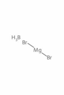 B.[Br][Mg][Br]